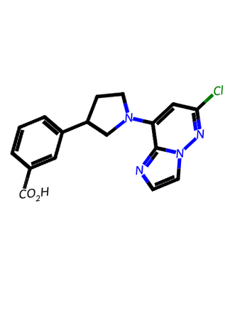 O=C(O)c1cccc(C2CCN(c3cc(Cl)nn4ccnc34)C2)c1